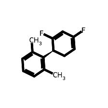 Cc1cccc(C)c1[C@@H]1CC=C(F)C=C1F